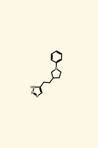 c1ccc(N2CCC(CCc3cnn[nH]3)C2)cc1